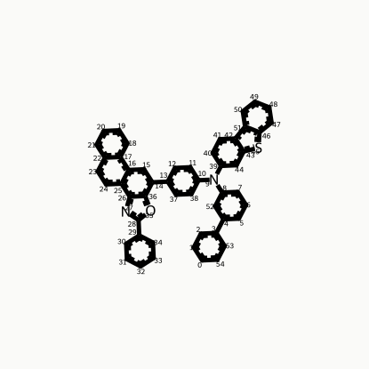 c1ccc(-c2cccc(N(c3ccc(-c4cc5c6ccccc6ccc5c5nc(-c6ccccc6)oc45)cc3)c3ccc4c(c3)sc3ccccc34)c2)cc1